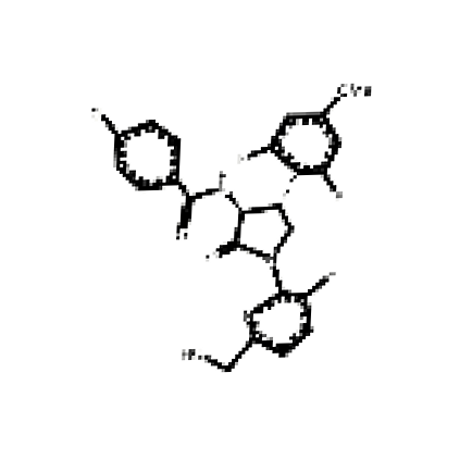 COc1cc(F)c([C@@H]2CN(c3nc(CO)ccc3F)C(=O)[C@H]2NC(=O)c2ccc(Cl)cc2)c(F)c1